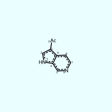 CC(=O)c1c[nH]c2cnccc12